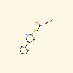 CC/C=C/C(=O)CSc1ccc(-c2ccccc2)cn1